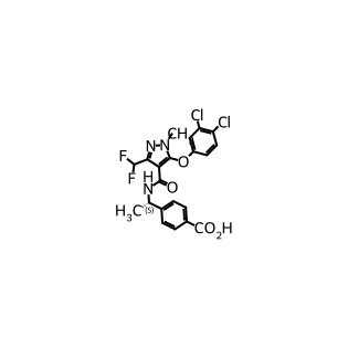 C[C@H](NC(=O)c1c(C(F)F)nn(C)c1Oc1ccc(Cl)c(Cl)c1)c1ccc(C(=O)O)cc1